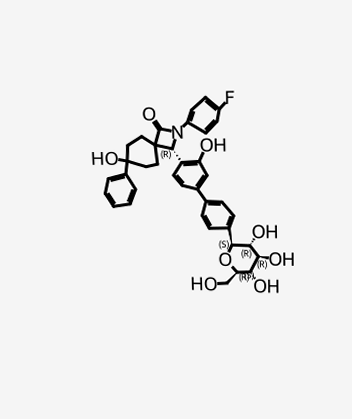 O=C1N(c2ccc(F)cc2)[C@H](c2ccc(-c3ccc([C@@H]4O[C@H](CO)[C@@H](O)[C@H](O)[C@H]4O)cc3)cc2O)C12CCC(O)(c1ccccc1)CC2